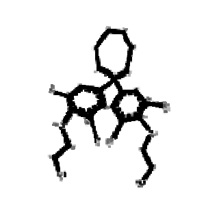 CCc1cc(C2(c3cc(CC)c(OCCO)c(CC)c3)CCCCCC2)cc(CC)c1OCCO